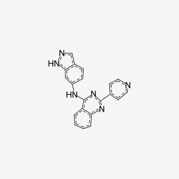 c1ccc2c(Nc3ccc4cn[nH]c4c3)nc(-c3ccncc3)nc2c1